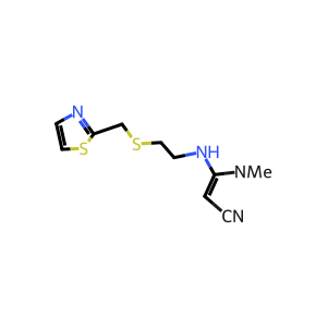 CNC(=CC#N)NCCSCc1nccs1